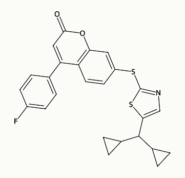 O=c1cc(-c2ccc(F)cc2)c2ccc(Sc3ncc(C(C4CC4)C4CC4)s3)cc2o1